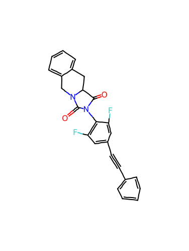 O=C1C2Cc3ccccc3CN2C(=O)N1c1c(F)cc(C#Cc2ccccc2)cc1F